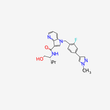 CC(C)[C@H](CO)NC(=O)c1cn(Cc2ccc(-c3cnn(C)c3)cc2F)c2cccnc12